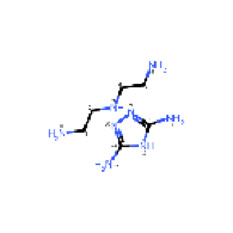 NCCNCCN.Nc1nnc(N)[nH]1